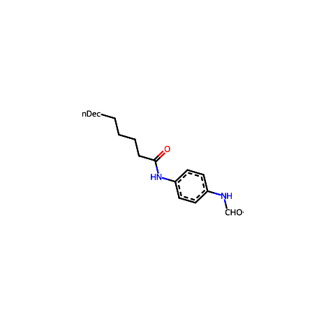 CCCCCCCCCCCCCCC(=O)Nc1ccc(N[C]=O)cc1